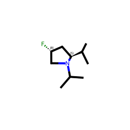 CC(C)[C@@H]1C[C@@H](F)CN1C(C)C